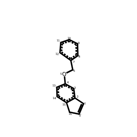 [C]1=Cc2cc(OCc3ccccc3)ccc2C1